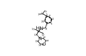 CC(C)c1cccc(CNC(C)(C)CN2CCOCC2)c1